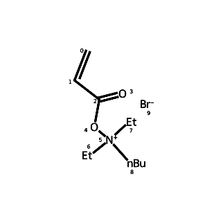 C=CC(=O)O[N+](CC)(CC)CCCC.[Br-]